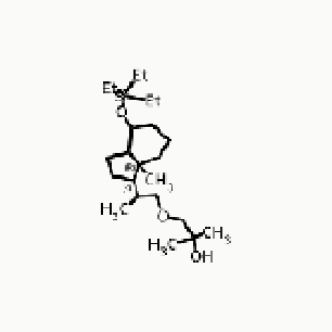 CC[Si](CC)(CC)OC1CCC[C@@]2(C)C1CC[C@@H]2C(C)COCC(C)(C)O